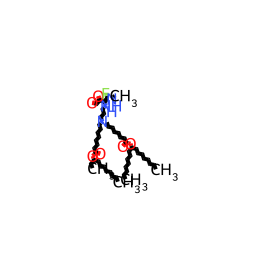 CCCCCCCCC(CC)OC(=O)CCCCCCCN(CCCCCCCC(=O)OC(CCCCCCCC)CCCCCCCC)CCCN/C(C(=O)C=O)=C(/F)NC